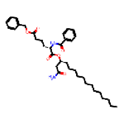 CCCCCCCCCCCCC[C@@H](CC(N)=O)OC(=O)[C@H](CCCC(=O)OCc1ccccc1)NC(=O)c1ccccc1